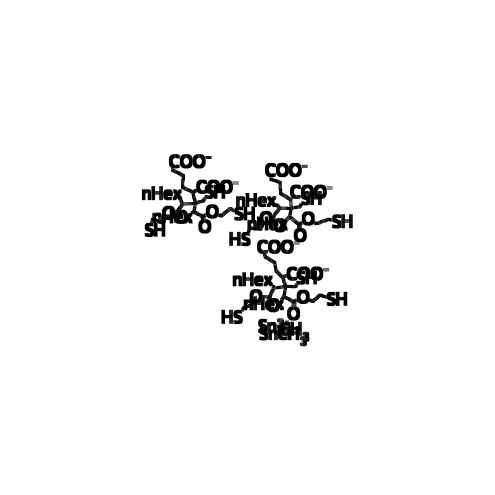 CCCCCCC(C(=O)OCCS)C(CS)(C(CCCC(=O)[O-])C(=O)[O-])C(CCCCCC)C(=O)OCCS.CCCCCCC(C(=O)OCCS)C(CS)(C(CCCC(=O)[O-])C(=O)[O-])C(CCCCCC)C(=O)OCCS.CCCCCCC(C(=O)OCCS)C(CS)(C(CCCC(=O)[O-])C(=O)[O-])C(CCCCCC)C(=O)OCCS.[CH3][Sn+3].[CH3][Sn+3]